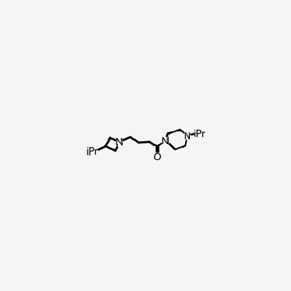 CC(C)C1CN(CCCC(=O)N2CCN(C(C)C)CC2)C1